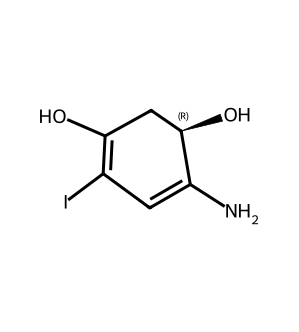 NC1=CC(I)=C(O)C[C@H]1O